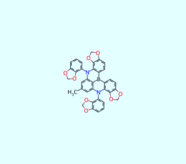 Cc1cc2c3c(c1)N(c1cccc4c1OCO4)c1c(ccc4c1OCO4)B3c1ccc3c(c1N2c1cccc2c1OCO2)OCO3